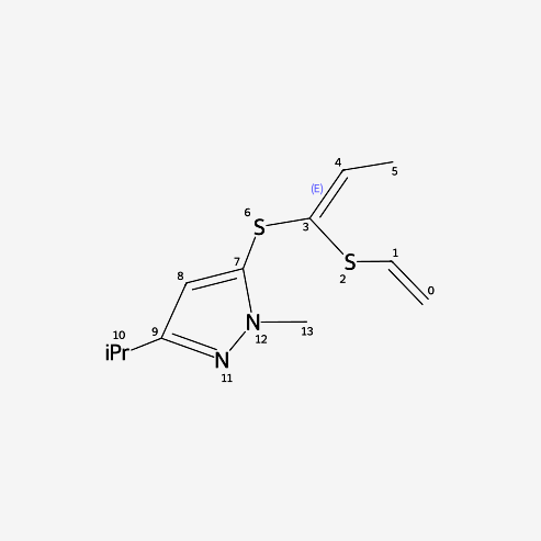 C=CS/C(=C\C)Sc1cc(C(C)C)nn1C